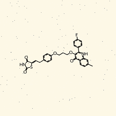 Cc1ccc2c(=O)c(OCCCOc3ccc(CC=C4SC(=O)NC4=O)cc3)c(-c3ccc(F)cc3)[nH]c2c1